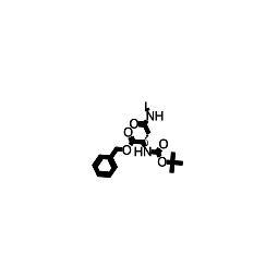 CC(C)(C)OC(=O)N[C@@H](CC(=O)NI)C(=O)OCc1ccccc1